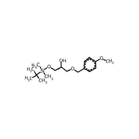 COc1ccc(COCC(O)CO[Si](C)(C)C(C)(C)C)cc1